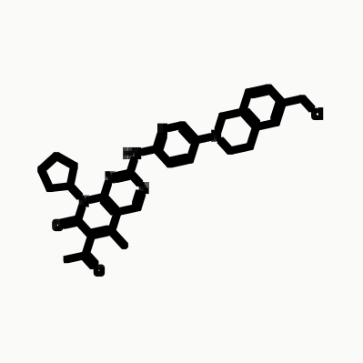 CC(=O)c1c(C)c2cnc(Nc3ccc(N4CCc5cc(CCl)ccc5C4)cn3)nc2n(C2CCCC2)c1=O